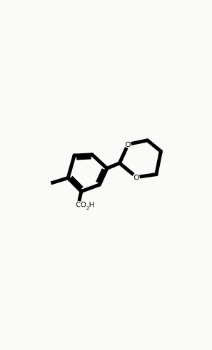 Cc1ccc(C2OCCCO2)cc1C(=O)O